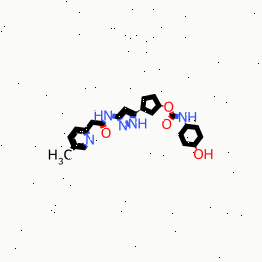 Cc1ccc(CC(=O)Nc2cc([C@@H]3CC[C@H](OC(=O)N[C@H]4CC[C@@H](O)CC4)C3)[nH]n2)nc1